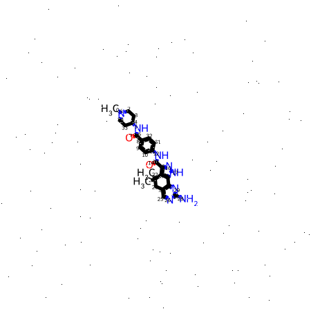 CN1CCC(NC(=O)c2ccc(NC(=O)c3n[nH]c4c3C(C)(C)Cc3cnc(N)nc3-4)cc2)CC1